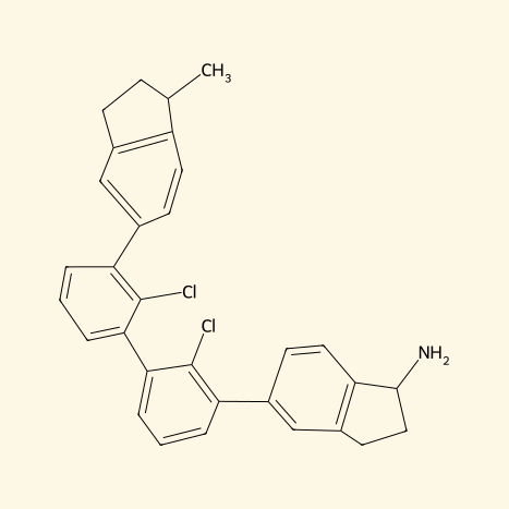 CC1CCc2cc(-c3cccc(-c4cccc(-c5ccc6c(c5)CCC6N)c4Cl)c3Cl)ccc21